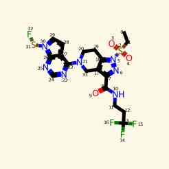 CCS(=O)(=O)n1nc(C(=O)NCCC(F)(F)F)c2c1CCN(c1ncnc3c1ccn3SF)C2